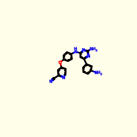 N#Cc1cc(Oc2ccc(Nc3cc(-c4cccc(N)c4)nc(N)n3)cc2)ccn1